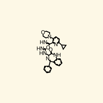 N=C(NC1N=C(c2ccccc2)c2ccccc2NC1=O)OC(=N)c1nc(C2CC2)ccc1N1CCOCC1